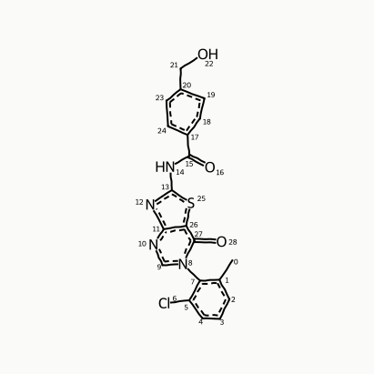 Cc1cccc(Cl)c1-n1cnc2nc(NC(=O)c3ccc(CO)cc3)sc2c1=O